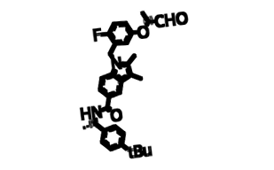 Cc1c(C)n(Cc2cc(O[C@@H](C)C=O)ccc2F)c2ccc(C(=O)N[C@@H](C)c3ccc(C(C)(C)C)cc3)cc12